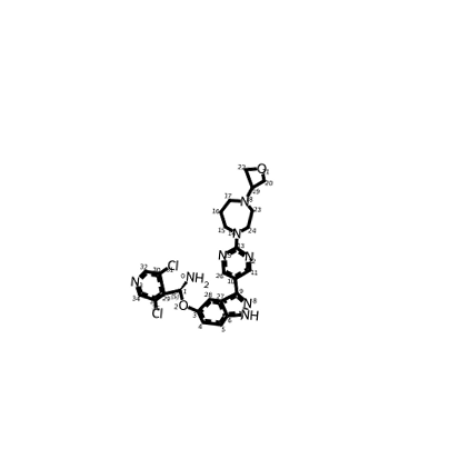 N[C@@H](Oc1ccc2[nH]nc(-c3cnc(N4CCCN(C5COC5)CC4)nc3)c2c1)c1c(Cl)cncc1Cl